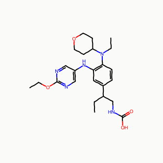 CCOc1ncc(Nc2cc(C(CC)CNC(=O)O)ccc2N(CC)C2CCOCC2)cn1